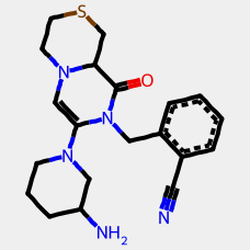 N#Cc1ccccc1CN1C(=O)C2CSCCN2C=C1N1CCCC(N)C1